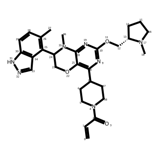 C=CC(=O)N1CCC(c2nc(OC[C@@H]3CCCN3C)nc3c2OCC(c2c(C)ccc4[nH]ncc24)N3C)CC1